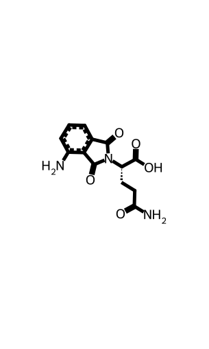 NC(=O)CC[C@@H](C(=O)O)N1C(=O)c2cccc(N)c2C1=O